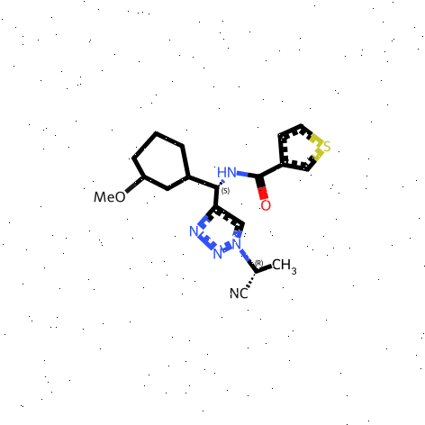 COC1CCCC([C@H](NC(=O)c2ccsc2)c2cn([C@H](C)C#N)nn2)C1